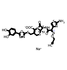 C#CCO/N=C(\C(=O)N[C@@H]1C(=O)N2C(C(=O)[O-])=C(CSc3nnc(-c4ccc(O)c(O)c4)o3)CS[C@H]12)c1csc(N)n1.[Na+]